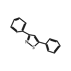 [c]1ccccc1-c1cc(-c2ccccc2)sn1